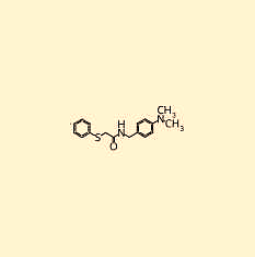 CN(C)c1ccc(CNC(=O)CSc2cc[c]cc2)cc1